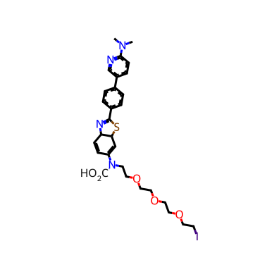 CN(C)c1ccc(-c2ccc(C3=NC4C=CC(N(CCOCCOCCOCCI)C(=O)O)=CC4S3)cc2)cn1